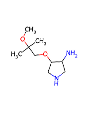 COC(C)(C)COC1CNCC1N